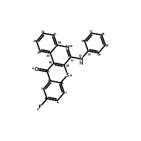 O=c1c2cc(F)ccc2sc2c(Nc3ccccc3)nc3ccccc3c12